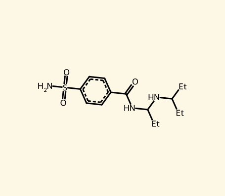 CCC(CC)NC(CC)NC(=O)c1ccc(S(N)(=O)=O)cc1